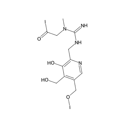 CN(CC(=O)I)C(=N)NCc1ncc(COI)c(CO)c1O